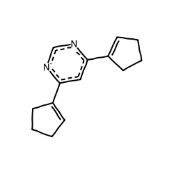 C1=C(c2cc(C3=CCCC3)ncn2)CCC1